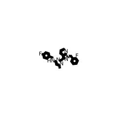 Cc1cc(NCc2ccc(F)cc2)nc(-c2nn(Cc3ccccc3F)c3ncccc23)n1